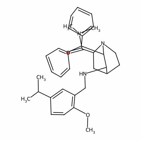 COc1ccc(C(C)C)cc1CNC1C2CCN(C(C(=O)N(C)C)C2)C1C(c1ccccc1)c1ccccc1